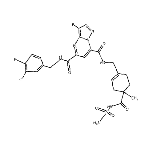 CC1(C(=O)NS(C)(=O)=O)CC=C(CNC(=O)c2cc(C(=O)NCc3ccc(F)c(Cl)c3)nc3c(F)cnn23)CC1